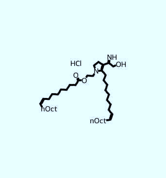 CCCCCCCC/C=C\CCCCCCCCC1=C(C(=N)CO)CCN1CCOC(=O)CCCCCCC/C=C\CCCCCCCC.Cl